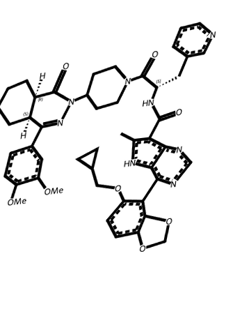 COc1ccc(C2=NN(C3CCN(C(=O)[C@H](Cc4cccnc4)NC(=O)c4c(C)[nH]c5c(-c6c(OCC7CC7)ccc7c6OCO7)ncnc45)CC3)C(=O)[C@@H]3CCCC[C@H]23)cc1OC